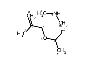 C=C(C)COC(C)F.CNC